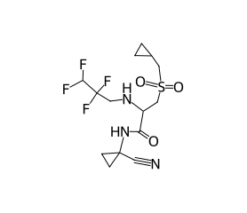 N#CC1(NC(=O)C(CS(=O)(=O)CC2CC2)NCC(F)(F)C(F)F)CC1